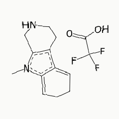 Cn1c2c(c3c1=CCCC=3)CCNC2.O=C(O)C(F)(F)F